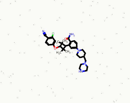 CC1(C)C(Oc2ccc(C#N)c(Cl)c2)C(C)(C)C1c1cc(N2CCC(CN3CCNCC3)CC2)ccc1C(N)=O